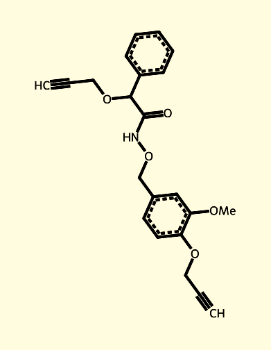 C#CCOc1ccc(CONC(=O)C(OCC#C)c2ccccc2)cc1OC